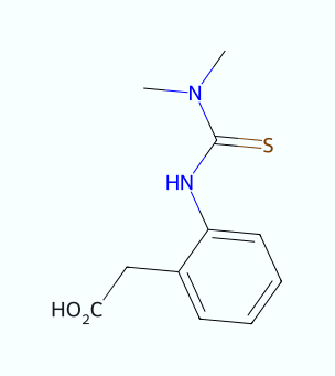 CN(C)C(=S)Nc1ccccc1CC(=O)O